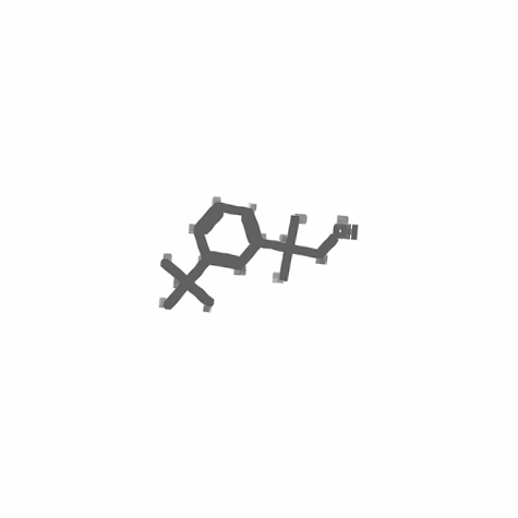 CC(C)(C)c1cccc(C(C)(C)CO)c1